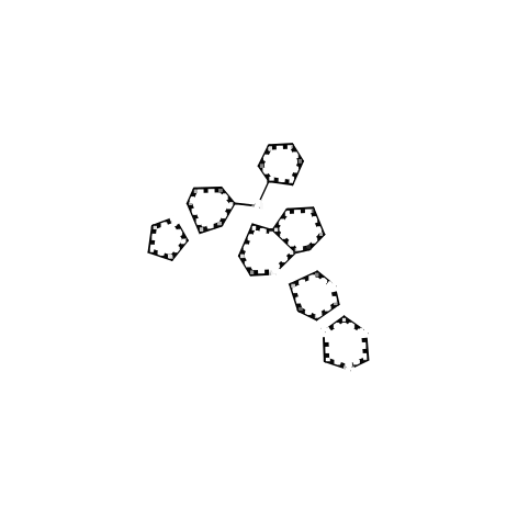 c1ccc(Nc2ccccc2)cc1.c1ccc2ncccc2c1.c1ccncc1.c1ccsc1.c1ncncn1